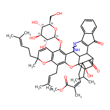 COC(=O)/C(C)=C\CC1(O)C(=O)C2CC(C(C)C)C13Oc1c(CC=C(C)C)c4c(c(O[C@@H]5O[C@H](CO)[C@@H](O)[C@H](O)[C@H]5O)c1C15NCCN1C1=C(C(=O)c6ccccc61)C2C53)C=CC(C)(CCC=C(C)C)O4